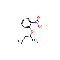 CCC(C)Oc1ccccc1[N+](=O)[O-]